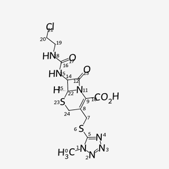 Cn1nnnc1SCC1=C(C(=O)O)N2C(=O)C(NC(=O)NCCCl)[C@@H]2SC1